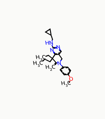 C=C1N(c2ccc(OC)cc2)Cc2cnc(NCC3CC3)nc2C1(CC)CCC